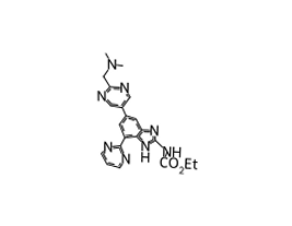 CCOC(=O)Nc1nc2cc(-c3cnc(CN(C)C)nc3)cc(-c3ncccn3)c2[nH]1